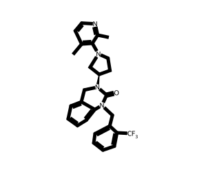 Cc1ccnc(C)c1N1CC[C@@H](N2Cc3ccccc3N(Cc3ccccc3C(F)(F)F)C2=O)C1